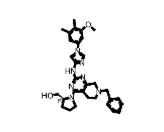 COc1cc(-n2cnc(Nc3nc4c(c(N5CCC[C@H]5CO)n3)CCN(Cc3ccccc3)C4)c2)cc(C)c1C